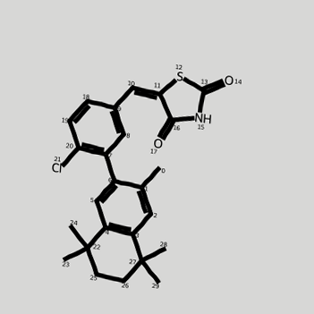 Cc1cc2c(cc1-c1cc(C=C3SC(=O)NC3=O)ccc1Cl)C(C)(C)CCC2(C)C